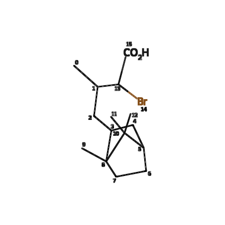 CC(CC1CC2CCC1(C)C2(C)C)C(Br)C(=O)O